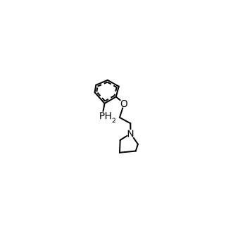 Pc1ccccc1OCCN1CCCC1